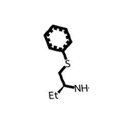 CC[C@H]([NH])CSc1ccccc1